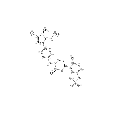 [2H]C([2H])([2H])Oc1cc(N2CC[C@@H](Oc3ccc(N4N=C(C(F)(F)F)[C@@H](C)[C@@H]4CC(=O)O)cc3)[C@H](C)C2)c(Cl)cn1